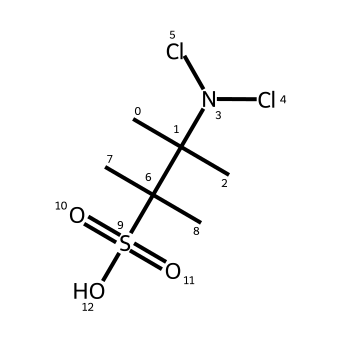 CC(C)(N(Cl)Cl)C(C)(C)S(=O)(=O)O